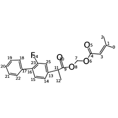 CC(C)=CC(=O)OCOC(=O)C(C)c1ccc(-c2ccccc2)c(F)c1